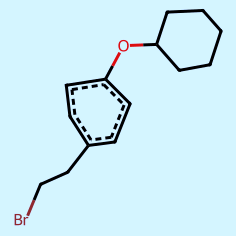 BrCCc1ccc(OC2CCCCC2)cc1